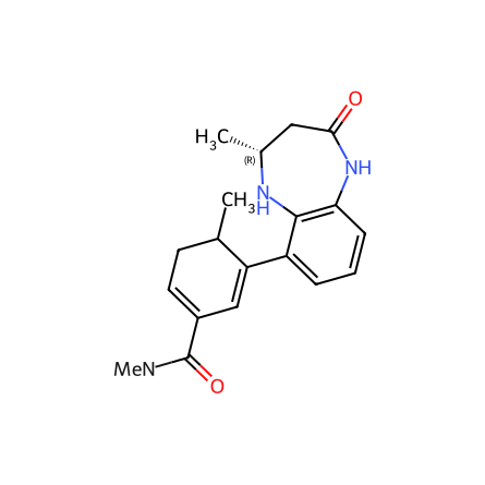 CNC(=O)C1=CCC(C)C(c2cccc3c2N[C@H](C)CC(=O)N3)=C1